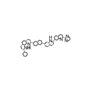 C1=CC2=CC=C(c3ccc4ccc(-c5ncccn5)nc4c3)NC2C=C1c1ccc2cc(C3C=Cc4ccc5c(c4N3)NC(c3ccccc3)C=C5)ccc2c1